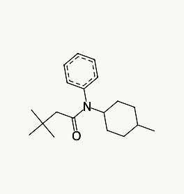 CC1CCC(N(C(=O)CC(C)(C)C)c2ccccc2)CC1